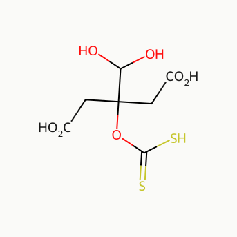 O=C(O)CC(CC(=O)O)(OC(=S)S)C(O)O